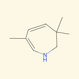 CC1=CNCC(C)(C)C=C1